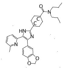 CCCN(CCC)C(=O)C12CCC(c3nc(-c4ccc5c(c4)OCO5)c(-c4cccc(C)n4)[nH]3)(CC1)CC2